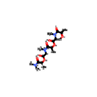 CCC(C)C(OC=O)C(=O)N(C)CC(=O)OC(C(=O)N(C)CC(=O)OC(C(=O)N(C)CC)[C@@H](C)CC)C(C)CC